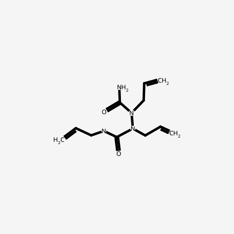 C=CC[N]C(=O)N(CC=C)N(CC=C)C(N)=O